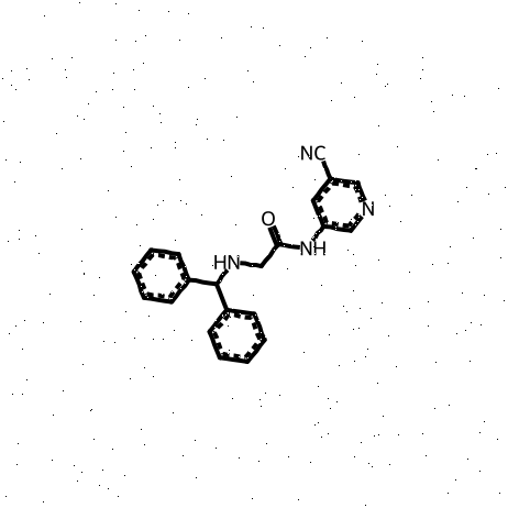 N#Cc1cncc(NC(=O)CNC(c2ccccc2)c2ccccc2)c1